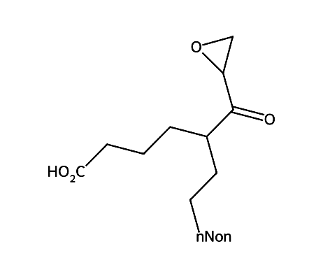 CCCCCCCCCCCC(CCCC(=O)O)C(=O)C1CO1